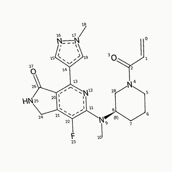 C=CC(=O)N1CCC[C@@H](N(C)c2nc(-c3cnn(C)c3)c3c(c2F)CNC3=O)C1